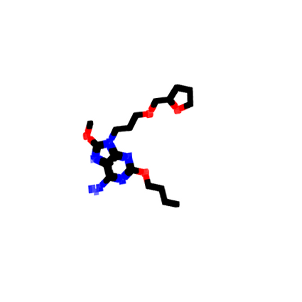 CCCCOc1nc(N)c2nc(OC)n(CCCOCC3CCCO3)c2n1